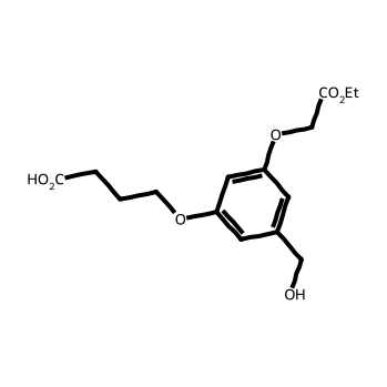 CCOC(=O)COc1cc(CO)cc(OCCCC(=O)O)c1